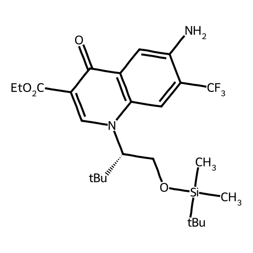 CCOC(=O)c1cn([C@H](CO[Si](C)(C)C(C)(C)C)C(C)(C)C)c2cc(C(F)(F)F)c(N)cc2c1=O